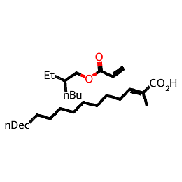 C=CC(=O)OCC(CC)CCCC.CCCCCCCCCCCCCCCCCCC=C(C)C(=O)O